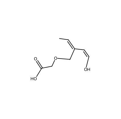 C/C=C(/C=C\O)COCC(=O)O